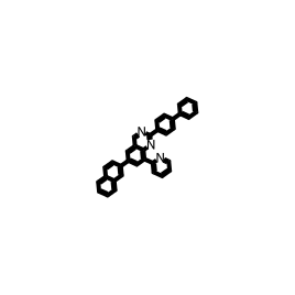 c1ccc(-c2ccc(-c3ncc4cc(-c5ccc6ccccc6c5)cc(-c5ccccn5)c4n3)cc2)cc1